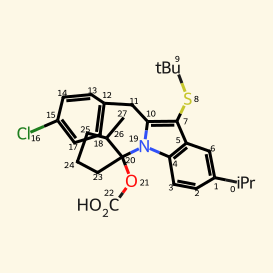 CC(C)c1ccc2c(c1)c(SC(C)(C)C)c(Cc1ccc(Cl)cc1)n2C1(OC(=O)O)CCCC1C